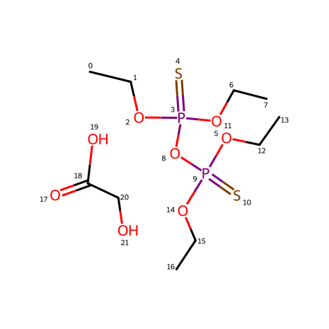 CCOP(=S)(OCC)OP(=S)(OCC)OCC.O=C(O)CO